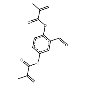 C=C(C)C(=O)Oc1ccc(OC(=O)C(=C)C)c(C=O)c1